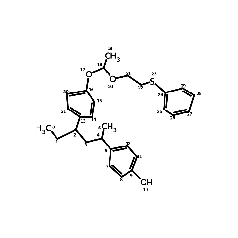 CCC(CC(C)c1ccc(O)cc1)c1ccc(OC(C)OCCSc2ccccc2)cc1